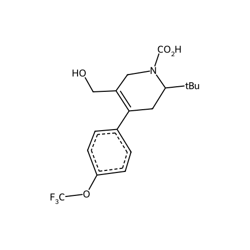 CC(C)(C)C1CC(c2ccc(OC(F)(F)F)cc2)=C(CO)CN1C(=O)O